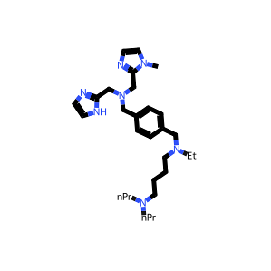 CCCN(CCC)CCCCN(CC)Cc1ccc(CN(Cc2ncc[nH]2)Cc2nccn2C)cc1